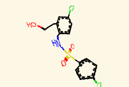 O=S(=O)(Nc1ccc(Cl)cc1CO)c1ccc(Cl)cc1